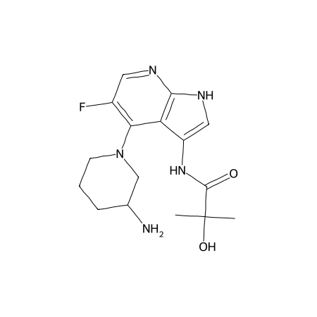 CC(C)(O)C(=O)Nc1c[nH]c2ncc(F)c(N3CCCC(N)C3)c12